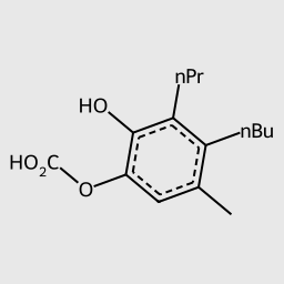 CCCCc1c(C)cc(OC(=O)O)c(O)c1CCC